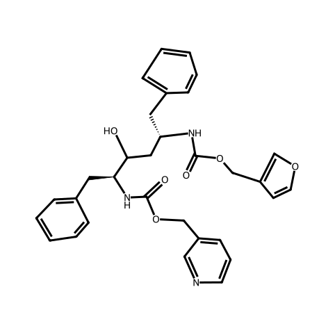 O=C(N[C@@H](Cc1ccccc1)CC(O)[C@H](Cc1ccccc1)NC(=O)OCc1cccnc1)OCc1ccoc1